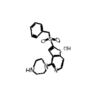 Cl.O=S(=O)(Cc1ccccc1)c1cc2c(N3CCNCC3)nccc2s1